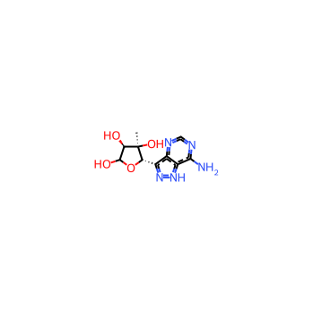 C[C@@]1(O)[C@H](O)C(O)O[C@H]1c1n[nH]c2c(N)ncnc12